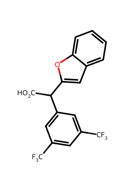 O=C(O)C(c1cc(C(F)(F)F)cc(C(F)(F)F)c1)c1cc2ccccc2o1